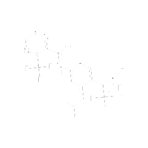 CC(C)Cc1cc(NC(=O)c2nccnc2C(F)(F)F)ccc1C(C(F)(F)F)C(F)(F)F